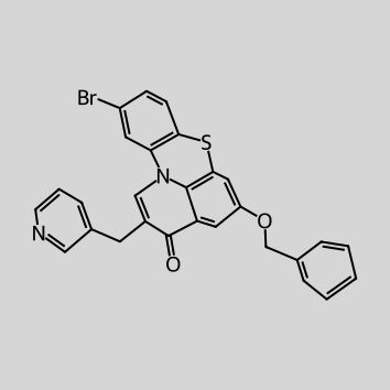 O=c1c(Cc2cccnc2)cn2c3c(cc(OCc4ccccc4)cc13)Sc1ccc(Br)cc1-2